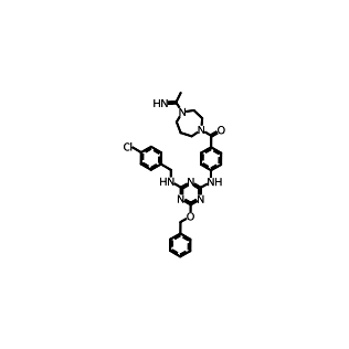 CC(=N)N1CCCN(C(=O)c2ccc(Nc3nc(NCc4ccc(Cl)cc4)nc(OCc4ccccc4)n3)cc2)CC1